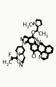 C=C(F)C(=O)N1CC[C@H](n2ncc3c(O[C@@H](C)[C@@H]4CCCN4C)nc4c(F)c(-c5nccc6cccc(C#N)c56)c(Cl)cc4c32)C[C@H]1CC#N